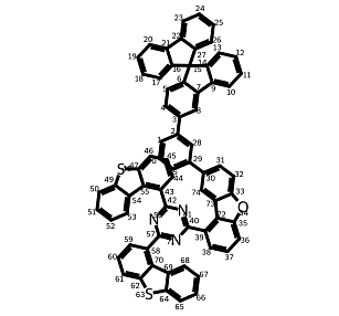 c1cc(-c2ccc3c(c2)-c2ccccc2C32c3ccccc3-c3ccccc32)cc(-c2ccc3oc4cccc(-c5nc(-c6cccc7sc8ccccc8c67)nc(-c6cccc7sc8ccccc8c67)n5)c4c3c2)c1